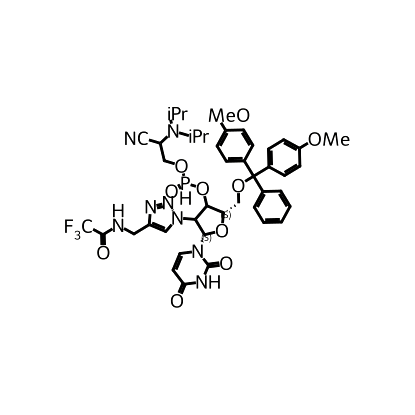 COc1ccc(C(OC[C@@H]2O[C@H](n3ccc(=O)[nH]c3=O)C(n3cc(CNC(=O)C(F)(F)F)nn3)C2O[PH](=O)OCC(C#N)N(C(C)C)C(C)C)(c2ccccc2)c2ccc(OC)cc2)cc1